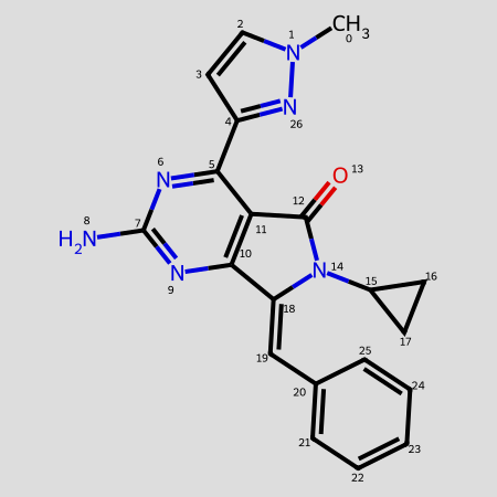 Cn1ccc(-c2nc(N)nc3c2C(=O)N(C2CC2)C3=Cc2ccccc2)n1